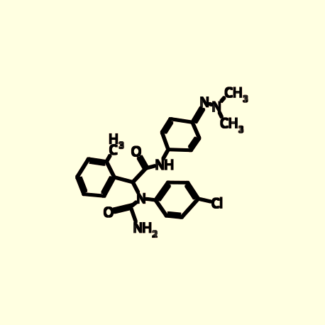 Cc1ccccc1C(C(=O)NC1C=CC(=NN(C)C)C=C1)N(C(N)=O)c1ccc(Cl)cc1